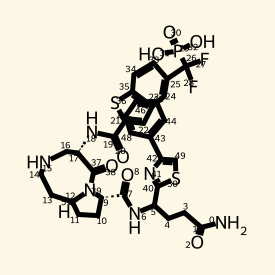 NC(=O)CCC(NC(=O)[C@@H]1CC[C@@H]2CCNC[C@H](NC(=O)c3cc4cc(C(F)(F)P(=O)(O)O)ccc4s3)C(=O)N21)c1nc(-c2ccccc2)cs1